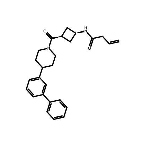 C=CCC(=O)N[C@H]1C[C@@H](C(=O)N2CCC(c3cccc(-c4ccccc4)c3)CC2)C1